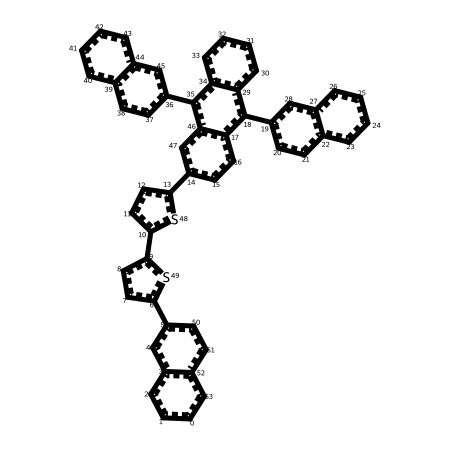 c1ccc2cc(-c3ccc(-c4ccc(-c5ccc6c(-c7ccc8ccccc8c7)c7ccccc7c(-c7ccc8ccccc8c7)c6c5)s4)s3)ccc2c1